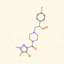 Cc1c(Br)c(C(=O)N2CCN(CC(C=O)c3ccc(F)cc3)CC2)nn1C